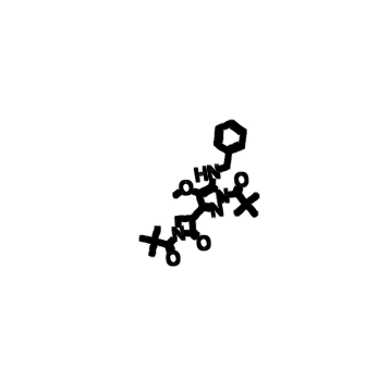 COc1c(C2CN(C(=O)C(C)(C)C)C2=O)nn(C(=O)C(C)(C)C)c1NCc1ccccc1